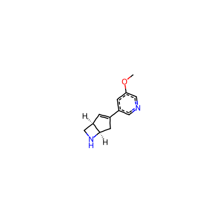 COc1cncc(C2=C[C@@H]3CN[C@@H]3C2)c1